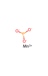 [Mn+3].[O-]P([O-])[O-]